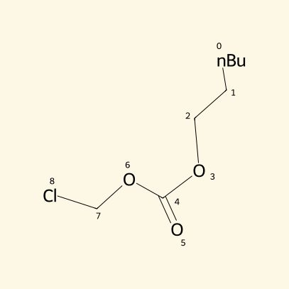 CCCCCCOC(=O)OCCl